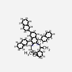 C=C1/C=c2/c(-c3ccc4ccccc4c3)c3ccc(-c4ccc5ccccc5c4)cc3c(-c3ccc4ccccc4c3)/c2=C/C[Si](C)(C)c2ccccc21